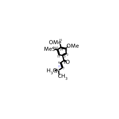 COc1cc(C(=O)/C=C/N(C)C)cc(SC)c1OC